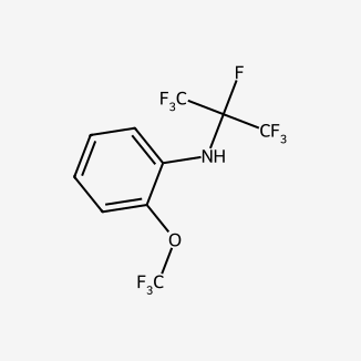 FC(F)(F)Oc1ccccc1NC(F)(C(F)(F)F)C(F)(F)F